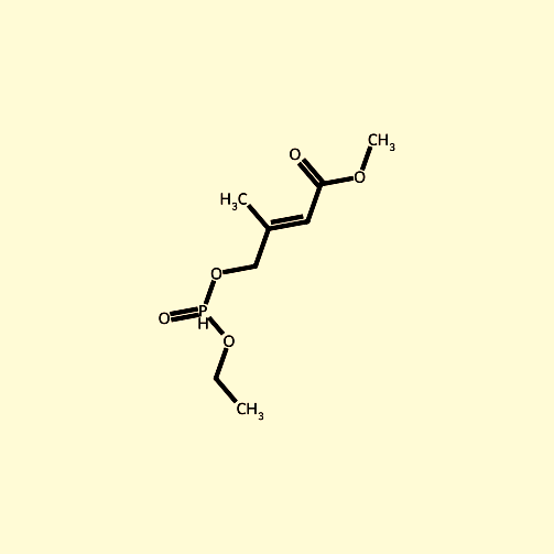 CCO[PH](=O)OC/C(C)=C/C(=O)OC